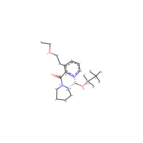 CCOCCc1cccnc1C(=O)N1CCCC[C@H]1CO[Si](C)(C)C(C)(C)C